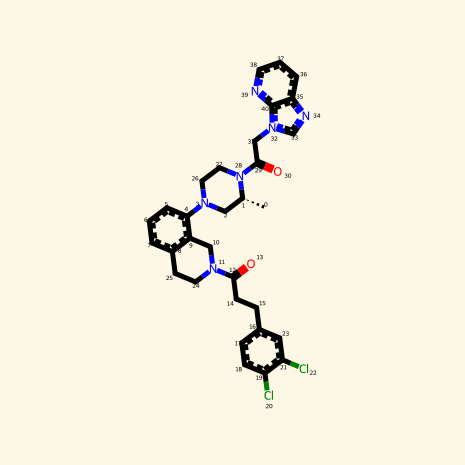 C[C@@H]1CN(c2cccc3c2CN(C(=O)CCc2ccc(Cl)c(Cl)c2)CC3)CCN1C(=O)Cn1cnc2cccnc21